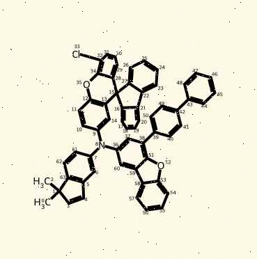 CC1(C)C=Cc2cc(N(c3ccc4c(c3)C3(c5ccccc5-c5ccccc53)c3cccc(Cl)c3O4)c3cc(-c4ccc(-c5ccccc5)cc4)c4oc5ccccc5c4c3)ccc21